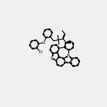 C=C(Cc1cccc2sc3ccc4c5ccccc5n(-c5ccccc5)c4c3c12)/C(=C/C)C(C)(C)Cc1ccccc1Oc1ccccc1CC